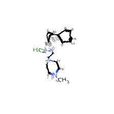 CN1CCN(CCN[C@@H]2C[C@H]2c2ccccc2)CC1.Cl